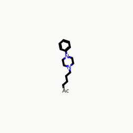 CC(=O)CCCCN1CCN(c2ccccc2)CC1